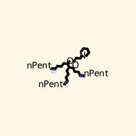 CCCCC/C=C\CCCC(CCC/C=C\CCCCC)C(CCC/C=C\CCCCC)OC(=O)CCN1CCCCC1